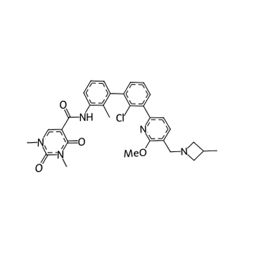 COc1nc(-c2cccc(-c3cccc(NC(=O)c4cn(C)c(=O)n(C)c4=O)c3C)c2Cl)ccc1CN1CC(C)C1